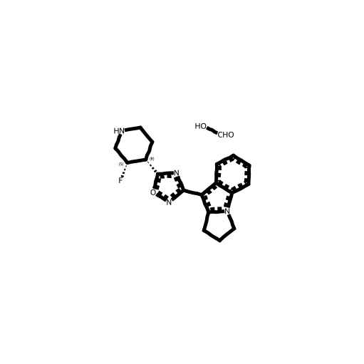 F[C@@H]1CNCC[C@@H]1c1nc(-c2c3n(c4ccccc24)CCC3)no1.O=CO